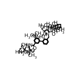 CCCCC1(C[C@H](NC(=O)c2cc(-c3cccc(CN4O[C@@H](CO)[C@H]([C@H](C)O)[C@H]4C(=O)N[C@H]4C[C@H]5C[C@@H]([C@@H]4C)C5(C)C)c3OC)cc(N(C)C)c2)C(=O)N(C)C)CNCN1C